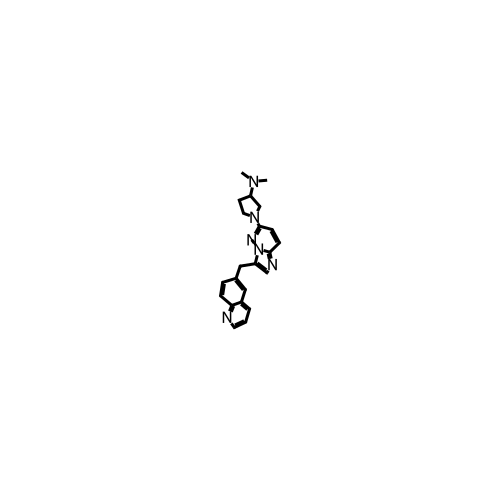 CN(C)C1CCN(c2ccc3ncc(Cc4ccc5ncccc5c4)n3n2)C1